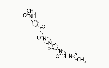 CCC(=S)NC[C@H]1CN(c2ccc(N3CCN(C(=O)CCC(=O)c4ccc(CNC(C)=O)cc4)CC3)c(F)c2)C(=O)O1